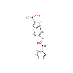 O=C(O)c1cc2ccc(COCc3ccccc3)cc2s1